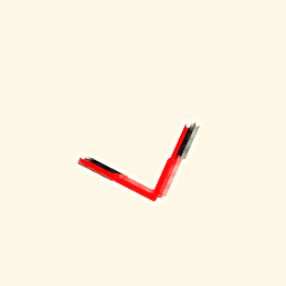 [Al+3].[Al+3].[Al+3].[Al+3].[Al+3].[Al+3].[Al+3].[Al+3].[Al+3].[Al+3].[Al+3].[Al+3].[Al+3].[Al+3].[Al+3].[Al+3].[Al+3].[Al+3].[Al+3].[Al+3].[Al+3].[Al+3].[Al+3].[Al+3].[Al+3].[Al+3].[Al+3].[Al+3].[Al+3].[Al+3].[Al+3].[Al+3].[Al+3].[Al+3].[Al+3].[Al+3].[Al+3].[Al+3].[Al+3].[Al+3].[Al+3].[Al+3].[Al+3].[Al+3].[Al+3].[Al+3].[Al+3].[Al+3].[Al+3].[Al+3].[Al+3].[Al+3].[Al+3].[Al+3].[Al+3].[Al+3].[Al+3].[Al+3].[Al+3].[Al+3].[O-2].[O-2].[O-2].[O-2].[O-2].[O-2].[O-2].[O-2].[O-2].[O-2].[O-2].[O-2].[O-2].[O-2].[O-2].[O-2].[O-2].[O-2].[O-2].[O-2].[O-2].[O-2].[O-2].[O-2].[O-2].[O-2].[O-2].[O-2].[O-2].[O-2].[O-2].[O-2].[O-2].[O-2].[O-2].[O-2].[O-2].[O-2].[O-2].[O-2].[O-2].[O-2].[O-2].[O-2].[O-2].[O-2].[O-2].[O-2].[O-2].[O-2].[O-2].[O-2].[O-2].[O-2].[O-2].[O-2].[O-2].[O-2].[O-2].[O-2].[O-2].[O-2].[O-2].[O-2].[O-2]